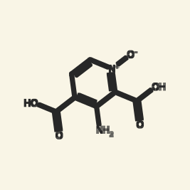 Nc1c(C(=O)O)cc[n+]([O-])c1C(=O)O